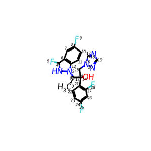 C[C@@H](N1NC(F)c2cc(F)ccc21)[C@](O)(Cn1cncn1)c1ccc(F)cc1F